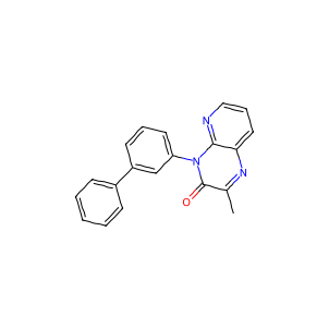 Cc1nc2cccnc2n(-c2cccc(-c3ccccc3)c2)c1=O